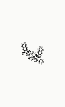 CC1(C)c2cc3ccccc3cc2N(c2ccc3ccccc3c2)c2ccc3cc(C=C4C(=O)c5cc6ccccc6cc5C4=O)ccc3c21